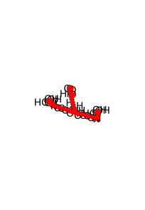 O=C(CCCCCCCCCCC(=O)NC(CCC(=O)NCCOCCOCCOCCn1cc(C[C@@H]2C[C@@H](O)[C@@H](O)[C@@H](CO)O2)nn1)CCC(=O)NCCOCCOCCOCCn1cc(C[C@@H]2C[C@@H](O)[C@@H](O)[C@@H](CO)O2)nn1)NCCN1C(=O)C=CC1=O